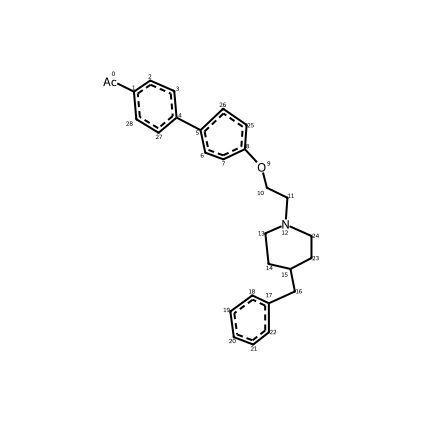 CC(=O)c1ccc(-c2ccc(OCCN3CCC(Cc4ccccc4)CC3)cc2)cc1